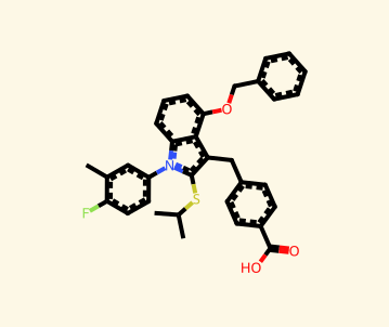 Cc1cc(-n2c(SC(C)C)c(Cc3ccc(C(=O)O)cc3)c3c(OCc4ccccc4)cccc32)ccc1F